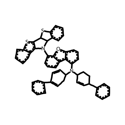 C1=CC(N(c2cccc3oc4c(N5c6c(sc7ccccc67)C6Sc7ccccc7C65)cccc4c23)C2C=CC(c3ccccc3)CC2)CC=C1c1ccccc1